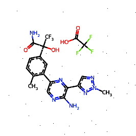 Cc1ccc(C(O)(C(N)=O)C(F)(F)F)cc1-c1cnc(N)c(-c2cnn(C)n2)n1.O=C(O)C(F)(F)F